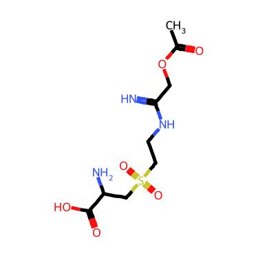 CC(=O)OCC(=N)NCCS(=O)(=O)CC(N)C(=O)O